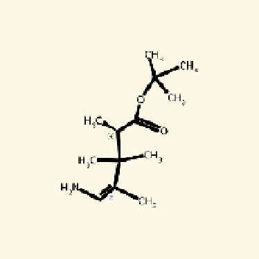 C/C(=C/N)C(C)(C)[C@@H](C)C(=O)OC(C)(C)C